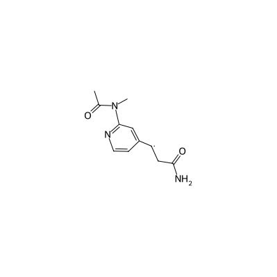 CC(=O)N(C)c1cc([CH]CC(N)=O)ccn1